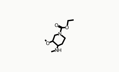 CCOC(=O)N1CCC(NC)C(OC)C1